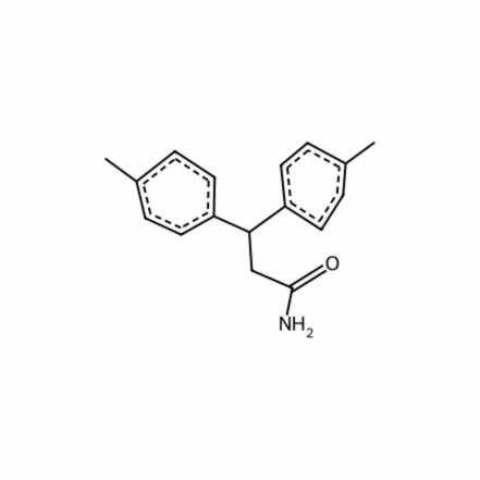 Cc1ccc(C(CC(N)=O)c2ccc(C)cc2)cc1